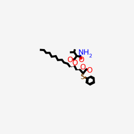 CCCCCCCCCCC[C@@H](C[C@H]1OC(=O)[C@@H]1Sc1ccccc1)OC(=O)C(C(N)=O)C(C)C